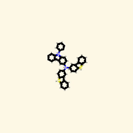 c1ccc(-n2c3ccccc3c3cc(N(c4ccc5sc6ccccc6c5c4)c4ccc5sc6ccccc6c5c4)ccc32)cc1